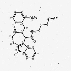 CCOCCCNC(=O)C1c2c(n(C)c3ccccc23)SCC(=O)N1Cc1ccccc1OC